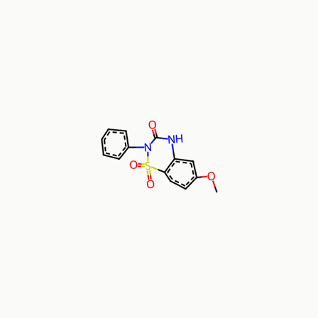 COc1ccc2c(c1)NC(=O)N(c1ccccc1)S2(=O)=O